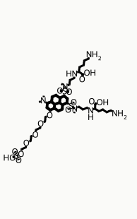 CN(C)c1cc(OCCOCCOCCOCCOS(=O)(=O)O)c2ccc3c(S(=O)(=O)N(C)CCCNC(CCCCN)C(=O)O)cc(S(=O)(=O)N(C)CCCNC(CCCCN)C(=O)O)c4ccc1c2c34